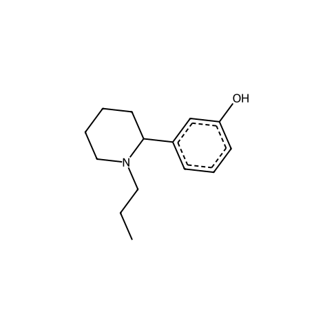 CCCN1CCCCC1c1cccc(O)c1